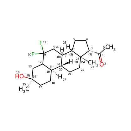 CC(=O)[C@H]1CC[C@H]2[C@@H]3CC(F)(F)C4C[C@](C)(O)CC[C@@H]4[C@H]3CC[C@]12C